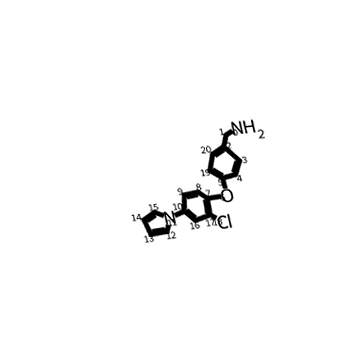 NCc1ccc(Oc2ccc(-n3cccc3)cc2Cl)cc1